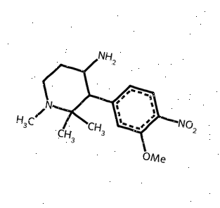 COc1cc(C2C(N)CCN(C)C2(C)C)ccc1[N+](=O)[O-]